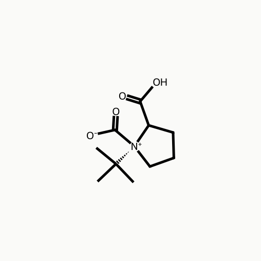 CC(C)(C)[N@@+]1(C(=O)[O-])CCCC1C(=O)O